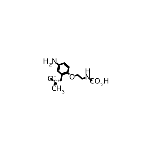 C[S+]([O-])Cc1cc(N)ccc1OCCNC(=O)O